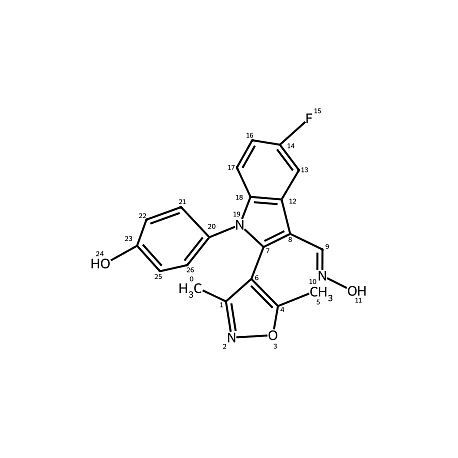 Cc1noc(C)c1-c1c(/C=N/O)c2cc(F)ccc2n1-c1ccc(O)cc1